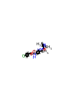 Cc1cc(C(=O)NC(C)c2ccc(NC(=O)OCc3ccc(Cl)cc3)cc2)n(C)n1